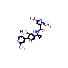 Cc1cc(C2(NC(=O)c3cc(C(F)(F)F)nn3C)CC2)cnc1-c1ccnc(C(F)(F)F)c1